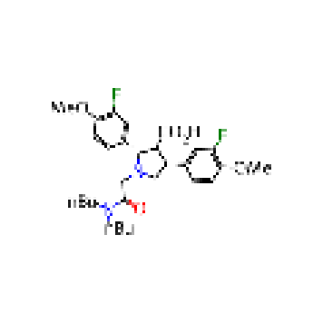 CCCCN(CCCC)C(=O)CN1C[C@H](c2ccc(OC)c(F)c2)[C@H](C(=O)O)[C@H]1c1ccc(OC)c(F)c1